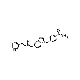 NC(=O)c1ccc(Cn2ccc3cc(CNCCc4cccnc4)ccc32)cc1